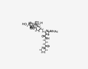 CC(=O)Nc1nc(CCc2ccc(NC(NC(=O)O)(N(C(=O)O)C(C)(C)C)C(C)(C)C)cc2)c(C(=O)NCCCC(=O)N2CCCCC2)s1